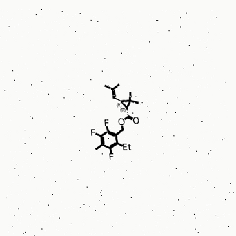 CCc1c(F)c(C)c(F)c(F)c1COC(=O)[C@@H]1[C@@H](C=C(C)C)C1(C)C